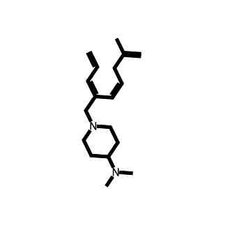 C=C/C=C(\C=C/CC(=C)C)CN1CCC(N(C)C)CC1